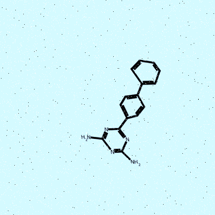 Nc1nc(N)nc(-c2ccc(-c3ccccc3)cc2)n1